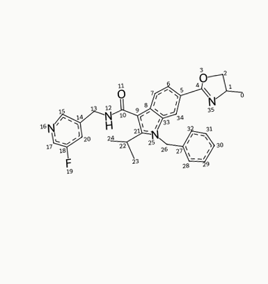 CC1COC(c2ccc3c(C(=O)NCc4cncc(F)c4)c(C(C)C)n(Cc4ccccc4)c3c2)=N1